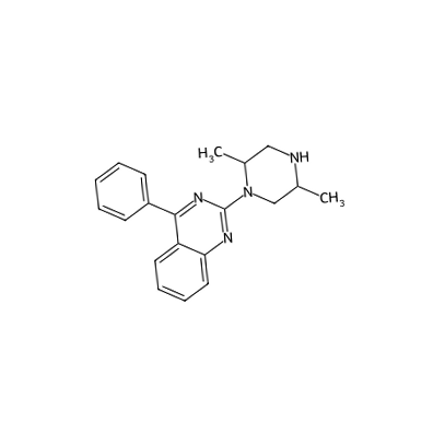 CC1CN(c2nc(-c3ccccc3)c3ccccc3n2)C(C)CN1